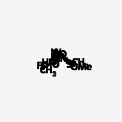 C=C(OC)c1cc(CNC(=O)c2cc(C(=O)NCc3ccc(F)c(C)c3)nc3ncnn23)cs1